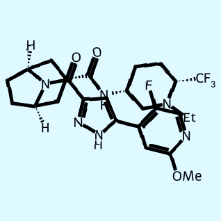 CCN1C[C@H](NC(=O)[C@@H]2C[C@H]3CC[C@@H](C2)N3C(=O)c2cc(-c3cc(OC)ncc3F)[nH]n2)CC[C@@H]1C(F)(F)F